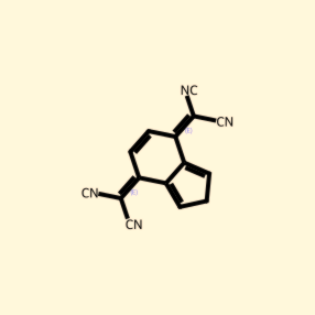 [C-]#[N+]/C(C#N)=c1\cc/c(=C(/C#N)[N+]#[C-])c2c1=CCC=2